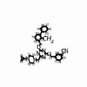 Cc1c(COc2nc(CN3CCN(C4CC4)CC3)nc(OCc3cccc(C#N)c3)n2)cccc1-c1ccccc1